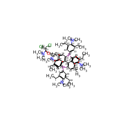 CCc1cc(P(c2cc(CC)c(N(C)C)c(CC)c2)c2ccc3ccccc3c2-c2c(P(c3cc(CC)c(N(C)C)c(CC)c3)c3cc(CC)c(N(C)C)c(CC)c3)ccc3ccccc23)cc(CC)c1N(C)C.CN(C)[C](=O)[Ru]([Cl])[Cl]